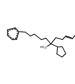 CC=CCCC(CCCCCc1ccccc1)(C(=O)O)C1CCCC1